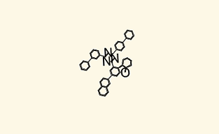 c1ccc(-c2ccc(-c3nc(-c4cccc(-c5ccccc5)c4)nc(-c4cc(-c5ccc6ccccc6c5)cc5oc6ccccc6c45)n3)cc2)cc1